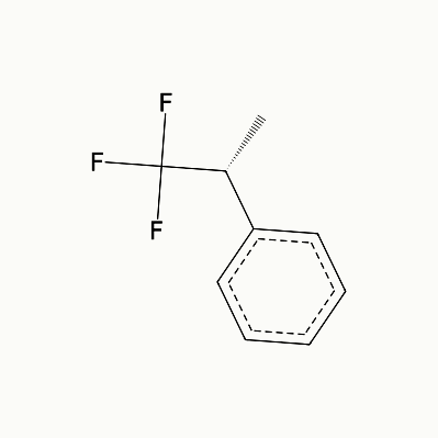 C[C@H](c1ccccc1)C(F)(F)F